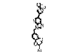 Cn1cc(-c2cnc3c(c2)ncn3Cc2ccc3c(c2)OCC(C#N)O3)cn1